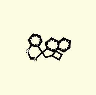 C1=NC(CC2CCC2)(c2ccc3ccccc3c2)c2ccccc2O1